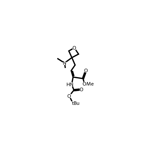 COC(=O)/C(=C\CC1(N(C)C)COC1)NC(=O)OC(C)(C)C